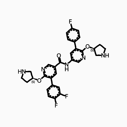 O=C(Nc1cnc(O[C@H]2CCNC2)c(-c2ccc(F)cc2)c1)c1cnc(O[C@H]2CCNC2)c(-c2ccc(F)c(F)c2)c1